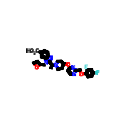 CC(c1nc2ccc(C(=O)O)cc2n1CC1CCO1)N1CCC(Oc2ccnc(COc3ccc(F)cc3F)n2)CC1